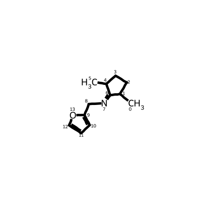 CC1CCC(C)C1=NCc1ccco1